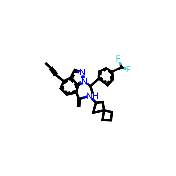 C=C(NC1CC2(CCC2)C1)c1ccc(C#CC)c2cnn(C(C)c3ccc(C(F)F)cc3)c12